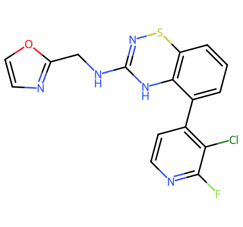 Fc1nccc(-c2cccc3c2NC(NCc2ncco2)=NS3)c1Cl